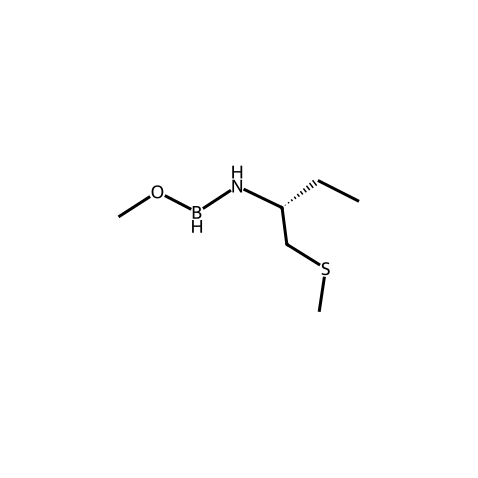 CC[C@H](CSC)NBOC